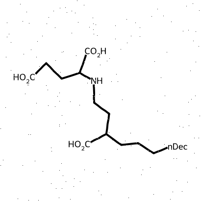 CCCCCCCCCCCCCC(CCNC(CCC(=O)O)C(=O)O)C(=O)O